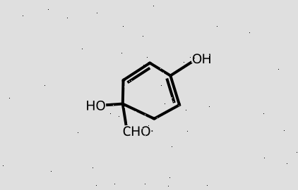 O=[C]C1(O)C=CC(O)=CC1